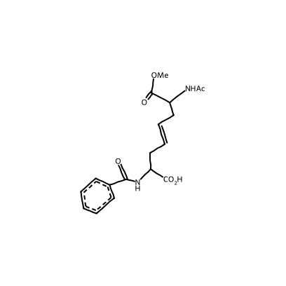 COC(=O)C(CC=CCC(NC(=O)c1ccccc1)C(=O)O)NC(C)=O